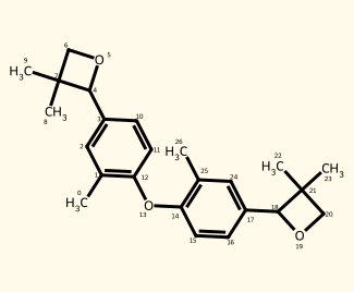 Cc1cc(C2OCC2(C)C)ccc1Oc1ccc(C2OCC2(C)C)cc1C